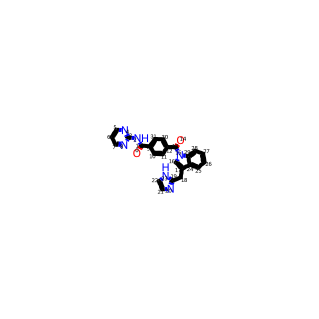 O=C(Nc1ncccn1)c1ccc(C(=O)n2cc(Cc3ncc[nH]3)c3ccccc32)cc1